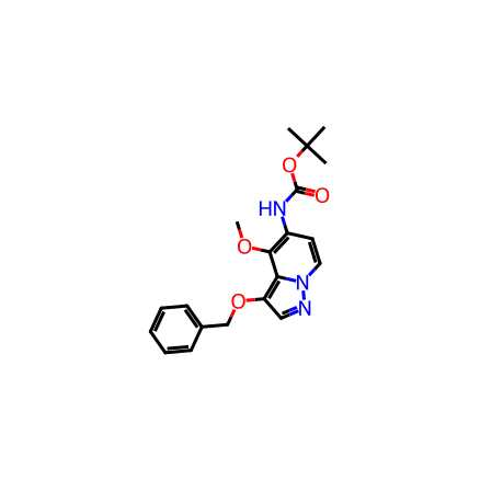 COc1c(NC(=O)OC(C)(C)C)ccn2ncc(OCc3ccccc3)c12